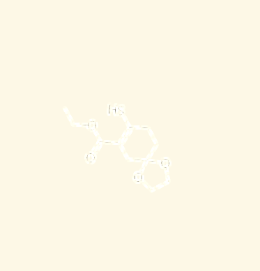 CCOC(=O)C1=C(S)CCC2(C1)OCCO2